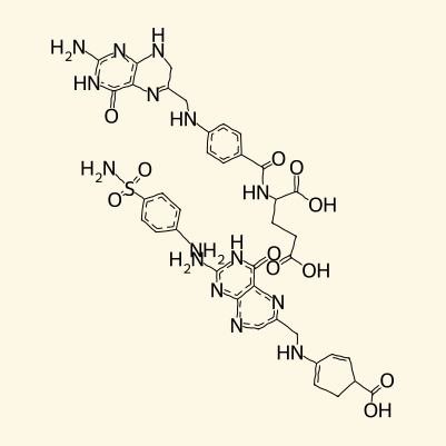 Nc1ccc(S(N)(=O)=O)cc1.Nc1nc2c(c(=O)[nH]1)N=C(CNc1ccc(C(=O)NC(CCC(=O)O)C(=O)O)cc1)CN2.Nc1nc2ncc(CNC3=CCC(C(=O)O)C=C3)nc2c(=O)[nH]1